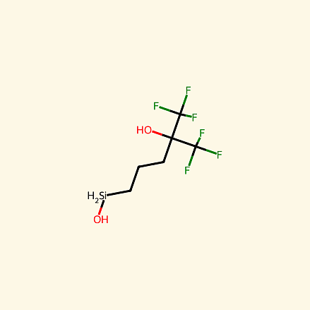 O[SiH2]CCCC(O)(C(F)(F)F)C(F)(F)F